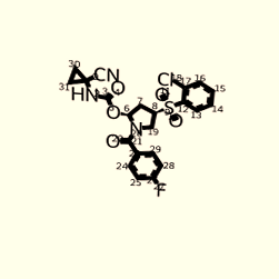 N#CC1(NC(=O)O[C@H]2C[C@@H](S(=O)(=O)c3ccccc3Cl)CN2C(=O)c2ccc(F)cc2)CC1